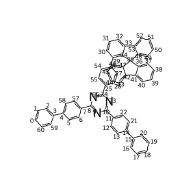 c1ccc(-c2ccc(-c3nc(-c4ccc(-c5ccccc5)cc4)nc(-c4ccc(-c5cccc6c5C5(c7ccccc7-c7ccccc75)c5ccccc5-6)cc4)n3)cc2)cc1